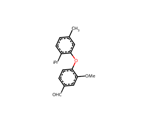 COc1cc(C=O)ccc1Oc1cc(C)ccc1C(C)C